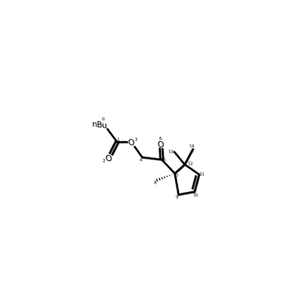 CCCCC(=O)OCC(=O)[C@]1(C)CC=CC1(C)C